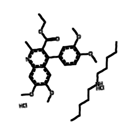 CCCCCNCCCCC.CCOC(=O)c1c(C)nc2cc(OC)c(OC)cc2c1-c1ccc(OC)c(OC)c1.Cl.Cl